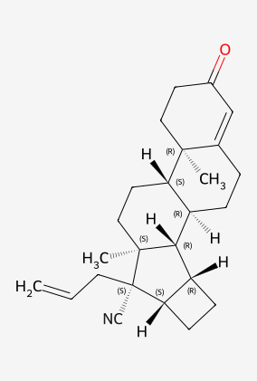 C=CC[C@]1(C#N)[C@H]2CC[C@H]2[C@H]2[C@@H]3CCC4=CC(=O)CC[C@]4(C)[C@H]3CC[C@@]21C